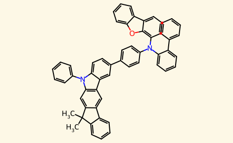 CC1(C)c2ccccc2-c2cc3c4cc(-c5ccc(N(c6ccccc6-c6ccccc6)c6cccc7c6oc6ccccc67)cc5)ccc4n(-c4ccccc4)c3cc21